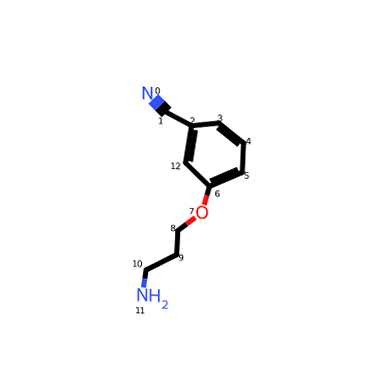 N#Cc1cccc(OCCCN)c1